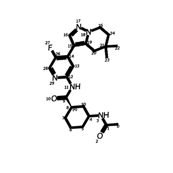 CC(=O)NC1CCC[C@@H](C(=O)Nc2cc(-c3cnn4c3CC(C)(C)CC4)c(F)cn2)C1